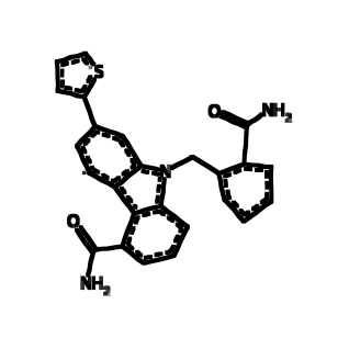 NC(=O)c1ccccc1Cn1c2cc(-c3cccs3)c[c]c2c2c(C(N)=O)cccc21